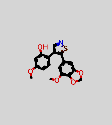 COc1ccc(-c2cnsc2-c2cc(OC)c3c(c2)OCO3)c(O)c1